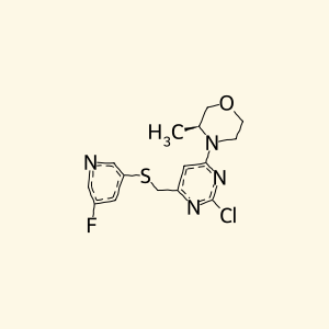 C[C@H]1COCCN1c1cc(CSc2cncc(F)c2)nc(Cl)n1